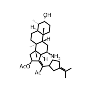 CC(=O)O[C@H]1C[C@@]2(C)[C@H](/C1=C(/C(C)=O)C1CCC(=C(C)C)C1)[C@H](N)C[C@H]1[C@@]3(C)CC[C@@H](O)[C@@H](C)[C@@H]3CC[C@@]12C